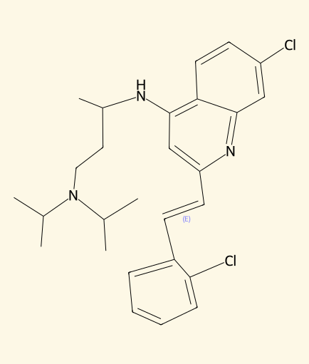 CC(CCN(C(C)C)C(C)C)Nc1cc(/C=C/c2ccccc2Cl)nc2cc(Cl)ccc12